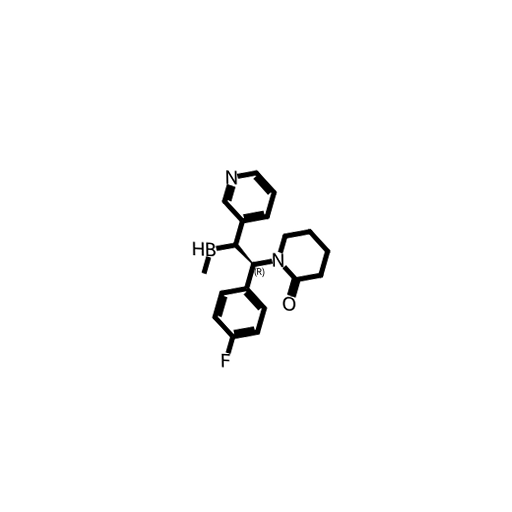 CBC(c1cccnc1)[C@H](c1ccc(F)cc1)N1CCCCC1=O